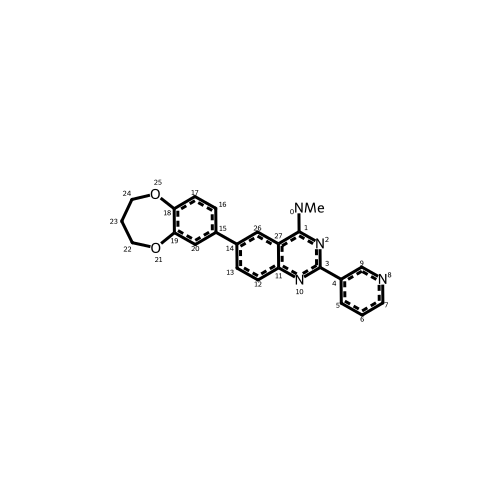 CNc1nc(-c2cccnc2)nc2ccc(-c3ccc4c(c3)OCCCO4)cc12